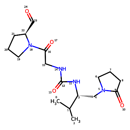 CC(C)[C@@H](CN1CCCC1=O)NC(=O)NCC(=O)N1CCC[C@H]1C=O